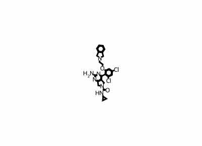 Nc1nc2c(c(-c3c(Cl)cc(Cl)cc3OCCN3Cc4ccccc4C3)n1)CN(C(=O)NC1CC1)C2